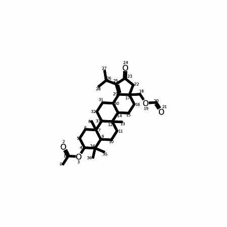 CC(=O)OC1CCC2(C)C(CCC3(C)C4CCC5(COC=O)CC(=O)C(C(C)C)=C5C4CCC32)C1(C)C